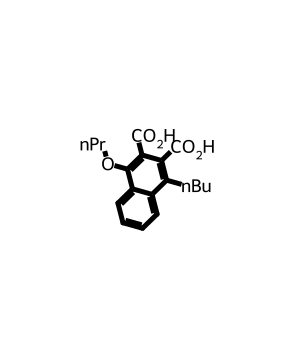 CCCCc1c(C(=O)O)c(C(=O)O)c(OCCC)c2ccccc12